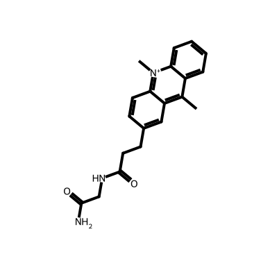 Cc1c2ccccc2[n+](C)c2ccc(CCC(=O)NCC(N)=O)cc12